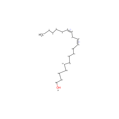 CCCCC/C=C\C/C=C\CCCCCCCCCO